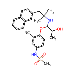 CC(O)C(NC(C)(C)Cc1ccc2ccccc2c1)Oc1ccc(NS(C)(=O)=O)cc1C#N